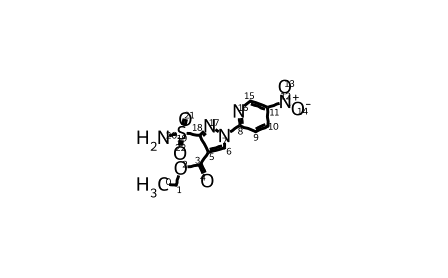 CCOC(=O)c1cn(-c2ccc([N+](=O)[O-])cn2)nc1S(N)(=O)=O